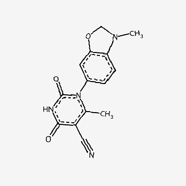 Cc1c(C#N)c(=O)[nH]c(=O)n1-c1ccc2c(c1)OCN2C